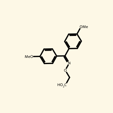 COc1ccc(C(=NOCC(=O)O)c2ccc(OC)cc2)cc1